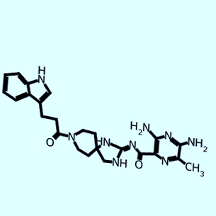 Cc1nc(C(=O)/N=C2\NCC3(CCN(C(=O)CCc4c[nH]c5ccccc45)CC3)N2)c(N)nc1N